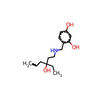 C=CCC(O)(CC)CCNCc1ccc(O)cc1O